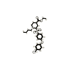 CCCCN1CCC(C(=O)OCC)CC1S(=O)(=O)c1ccc(Oc2ccc(Cl)cc2)cc1